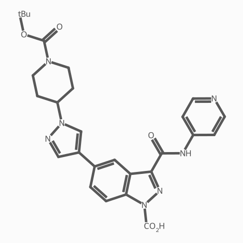 CC(C)(C)OC(=O)N1CCC(n2cc(-c3ccc4c(c3)c(C(=O)Nc3ccncc3)nn4C(=O)O)cn2)CC1